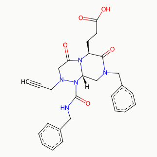 C#CCN1CC(=O)N2[C@@H](CCC(=O)O)C(=O)N(Cc3ccccc3)C[C@@H]2N1C(=O)NCc1ccccc1